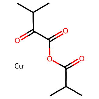 CC(C)C(=O)OC(=O)C(=O)C(C)C.[Cu]